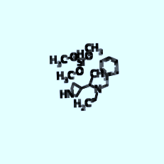 C=CN(Cc1ccccc1)C(C)C1CNC1.CO[SiH](OC)OC